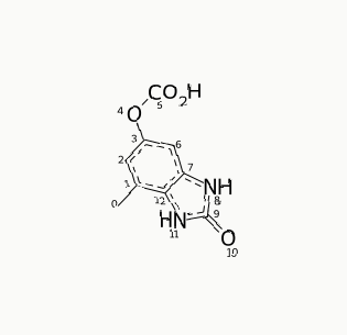 Cc1cc(OC(=O)O)cc2[nH]c(=O)[nH]c12